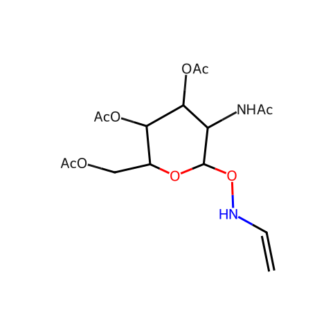 C=CNOC1OC(COC(C)=O)C(OC(C)=O)C(OC(C)=O)C1NC(C)=O